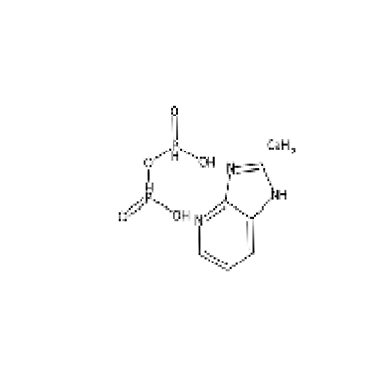 O=[PH](O)O[PH](=O)O.[CaH2].c1cnc2nc[nH]c2c1